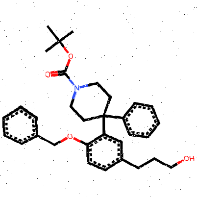 CC(C)(C)OC(=O)N1CCC(c2ccccc2)(c2cc(CCCO)ccc2OCc2ccccc2)CC1